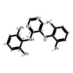 CC(C)c1cccc(C(C)C)c1Nc1cncnc1Nc1c(C(C)C)cccc1C(C)C